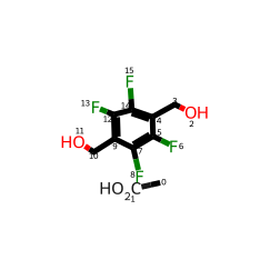 CC(=O)O.OCc1c(F)c(F)c(CO)c(F)c1F